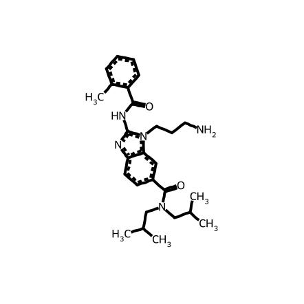 Cc1ccccc1C(=O)Nc1nc2ccc(C(=O)N(CC(C)C)CC(C)C)cc2n1CCCN